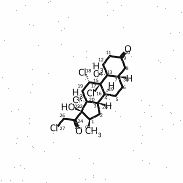 C[C@@H]1C[C@H]2[C@@H]3CC[C@H]4CC(=O)CC[C@]4(C)[C@@]3(Cl)[C@@H](Cl)C[C@]2(C)[C@@]1(O)C(=O)CCl